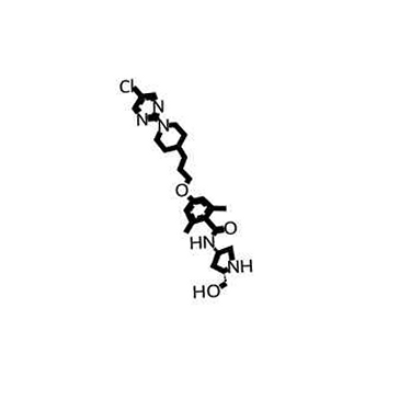 Cc1cc(OCCCC2CCN(c3ncc(Cl)cn3)CC2)cc(C)c1C(=O)N[C@H]1CN[C@H](CO)C1